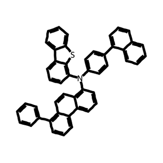 c1ccc(-c2cccc3c2ccc2c(N(c4ccc(-c5cccc6ccccc56)cc4)c4cccc5c4sc4ccccc45)cccc23)cc1